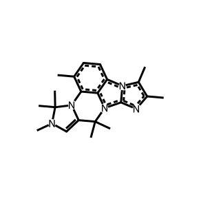 Cc1ccc2c3c1N1C(=CN(C)C1(C)C)C(C)(C)n3c1nc(C)c(C)n21